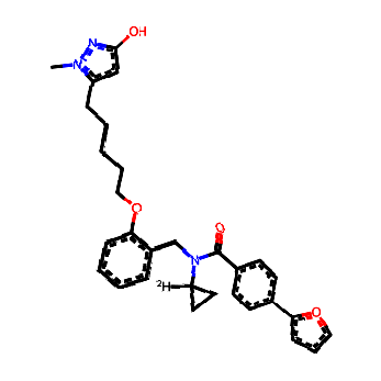 [2H]C1(N(Cc2ccccc2OCCCCCc2cc(O)nn2C)C(=O)c2ccc(-c3ccco3)cc2)CC1